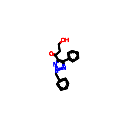 O=C(CCO)c1nn(Cc2ccccc2)nc1-c1ccccc1